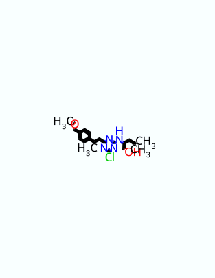 COCc1ccc(C(C)Cc2nc(Cl)nc(NC(CO)CC(C)C)n2)cc1